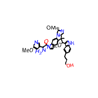 COc1cncc(C(N)C(=O)n2ccc3cc(C(C)(c4cnc(OC)cn4)C(OC(C)=O)c4c[nH]c5ccc(CCCO)cc45)ccc32)c1